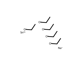 CC[O-].CC[O-].CC[O-].CC[O-].CC[O-].[Na+].[Sn+4]